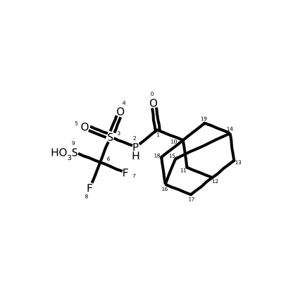 O=C(PS(=O)(=O)C(F)(F)S(=O)(=O)O)C12CC3CC(CC(C3)C1)C2